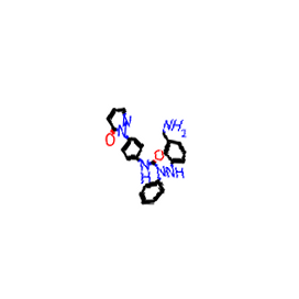 NCc1cccc(NN(C(=O)Nc2ccc(-n3ncccc3=O)cc2)c2ccccc2)c1